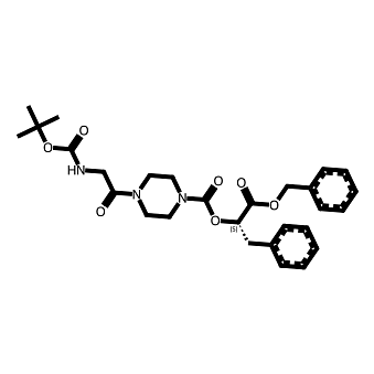 CC(C)(C)OC(=O)NCC(=O)N1CCN(C(=O)O[C@@H](Cc2ccccc2)C(=O)OCc2ccccc2)CC1